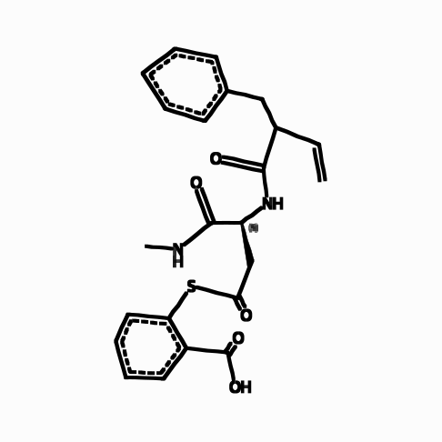 C=CC(Cc1ccccc1)C(=O)N[C@@H](CC(=O)Sc1ccccc1C(=O)O)C(=O)NC